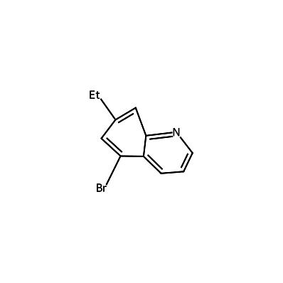 CCc1cc(Br)c2cccnc2c1